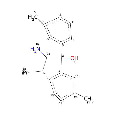 Cc1cccc(C(O)(c2cccc(C)c2)C(N)CC(C)C)c1